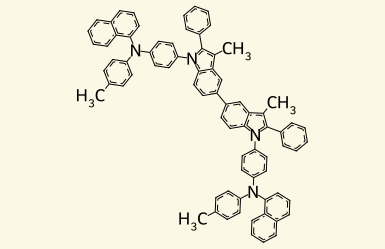 Cc1ccc(N(c2ccc(-n3c(-c4ccccc4)c(C)c4cc(-c5ccc6c(c5)c(C)c(-c5ccccc5)n6-c5ccc(N(c6ccc(C)cc6)c6cccc7ccccc67)cc5)ccc43)cc2)c2cccc3ccccc23)cc1